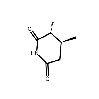 C[C@H]1CC(=O)NC(=O)[C@@H]1C